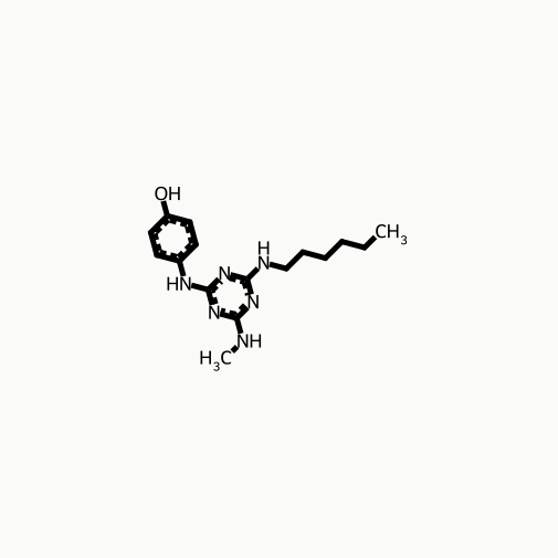 CCCCCCNc1nc(NC)nc(Nc2ccc(O)cc2)n1